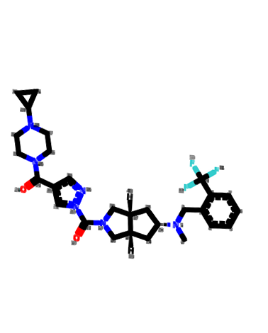 CN(Cc1ccccc1C(F)(F)F)[C@@H]1C[C@@H]2CN(C(=O)n3cc(C(=O)N4CCN(C5CC5)CC4)cn3)C[C@@H]2C1